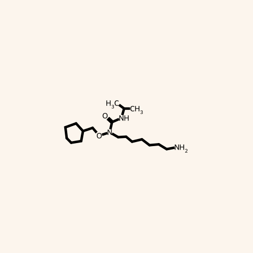 CC(C)NC(=O)N(CCCCCCCN)OCC1CCCCC1